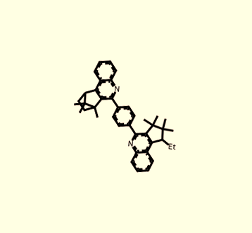 CCC1c2c(c(-c3ccc(-c4nc5ccccc5c5c4C4(C)CCC5C4(C)C)cc3)nc3ccccc23)C(C)(C)C1(C)C